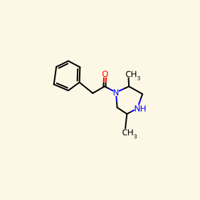 CC1CN(C(=O)Cc2ccccc2)C(C)CN1